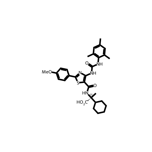 COc1ccc(-c2nc(NC(=O)Nc3c(C)cc(C)cc3C)c(C(=O)N[C@](C)(C(=O)O)C3CCCCC3)s2)cc1